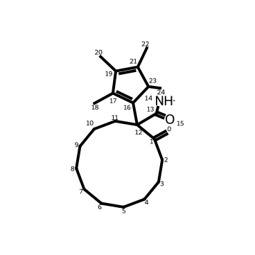 C=C1CCCCCCCCCCC1(C([NH])=O)C1=C(C)C(C)=C(C)C1C